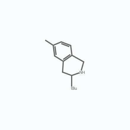 Cc1ccc2c(c1)CC(C(C)(C)C)NC2